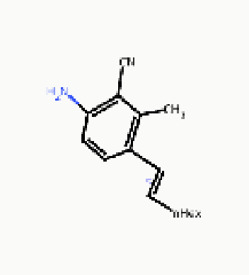 CCCCCC/C=C/c1ccc(N)c(C#N)c1C